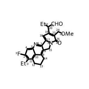 CCc1c(F)cc2nc3c(c4c2c1CCC4)Cn1c-3cc(C(C=O)CC)c(COC)c1=O